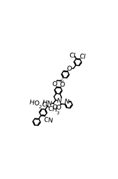 CC(NC(=O)C1Cc2cc3c(cc2CN1C(=O)c1ccccn1)O[C@@H](c1ccc(OCc2ccc(Cl)c(Cl)c2)cc1)CO3)(C(=O)O)c1ccc(-c2ccccc2)c(C#N)c1